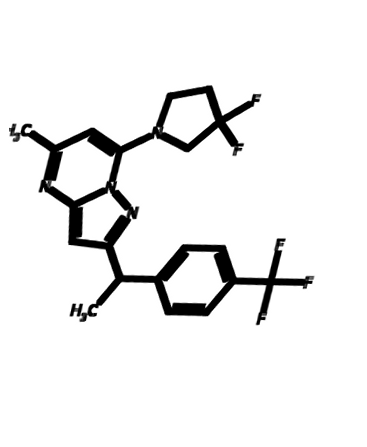 Cc1cc(N2CCC(F)(F)C2)n2nc(C(C)c3ccc(C(F)(F)F)cc3)cc2n1